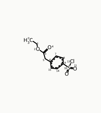 CCOC(=O)Cc1ccc(S(=O)(=O)Cl)cc1